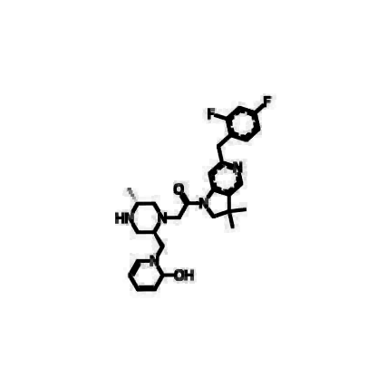 C[C@@H]1CN(CC(=O)N2CC(C)(C)c3cnc(Cc4ccc(F)cc4F)cc32)[C@@H](CN2C=CC=CC2O)CN1